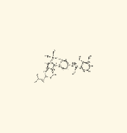 CC(C)OC1C=c2nc(C(F)(F)F)n(-c3ccc(NC(=O)c4cccc(F)c4F)cc3)c2=CC1